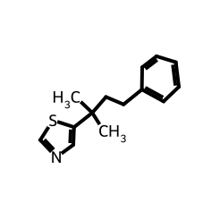 CC(C)(CCc1ccccc1)c1cncs1